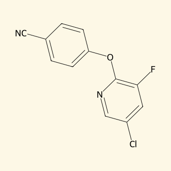 N#Cc1ccc(Oc2ncc(Cl)cc2F)cc1